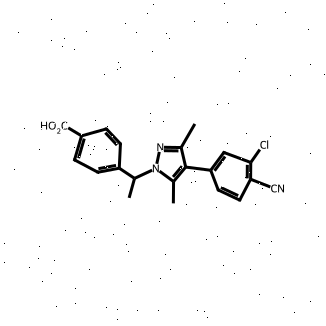 Cc1nn(C(C)c2ccc(C(=O)O)cc2)c(C)c1-c1ccc(C#N)c(Cl)c1